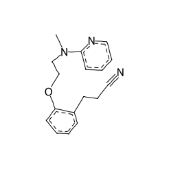 CN(CCOc1ccccc1CCC#N)c1ccccn1